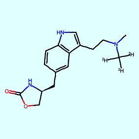 [2H]C([2H])([2H])N(C)CCc1c[nH]c2ccc(C[C@H]3COC(=O)N3)cc12